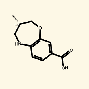 C[C@H]1CNc2ccc(C(=O)O)cc2OC1